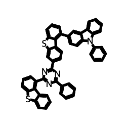 c1ccc(-c2nc(-c3ccc4c(c3)sc3cccc(-c5ccc6c(c5)c5ccccc5n6-c5ccccc5)c34)nc(-c3cccc4sc5ccccc5c34)n2)cc1